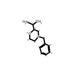 CC(N)C1CN(Cc2ccccc2)CCO1